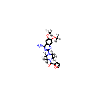 [2H]C([2H])([2H])Oc1cc2nc(N3C([2H])([2H])C([2H])([2H])N(C(=O)c4ccco4)C([2H])([2H])C3([2H])[2H])nc(N)c2cc1OC([2H])([2H])[2H]